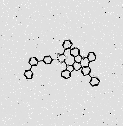 C1=CCC(c2cccc(-c3ccccc3)c2)C(n2c3ccccc3c3c2ccc2c4ccccc4n(-c4nc(-c5ccccc5)nc(-c5ccc(-c6cccc(-c7ccccc7)c6)cc5)n4)c23)=C1